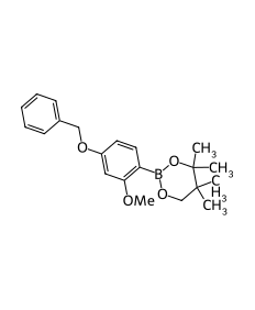 COc1cc(OCc2ccccc2)ccc1B1OCC(C)(C)C(C)(C)O1